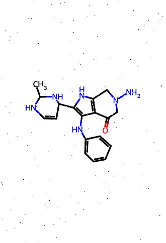 CC1NC=CC(c2[nH]c3c(c2Nc2ccccc2)C(=O)CN(N)C3)N1